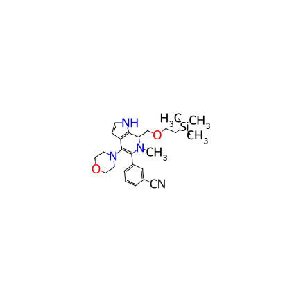 CN1C(c2cccc(C#N)c2)=C(N2CCOCC2)c2cc[nH]c2C1COCC[Si](C)(C)C